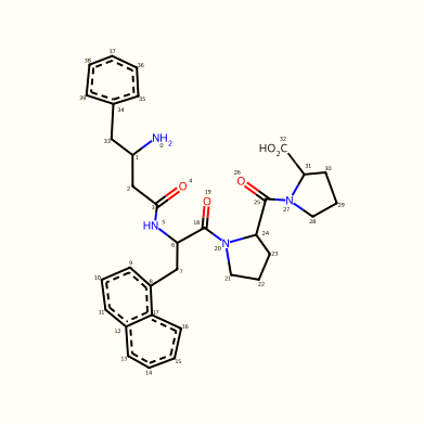 NC(CC(=O)NC(Cc1cccc2ccccc12)C(=O)N1CCCC1C(=O)N1CCCC1C(=O)O)Cc1ccccc1